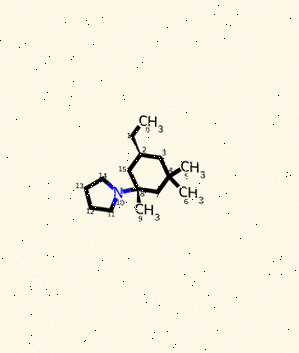 CC[C@H]1CC(C)(C)C[C@](C)(N2CCCC2)C1